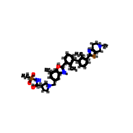 Cc1c(-c2nc3cc(CN4CC[C@@H](C(=O)NS(C)(=O)=O)C4)cc(C#N)c3o2)cccc1-c1cccc(-c2nc3c(s2)CN(C(C)C)CC3)c1C